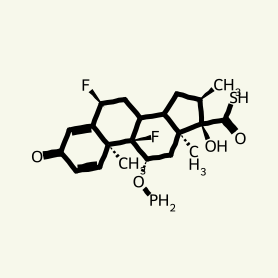 C[C@@H]1CC2C3C[C@H](F)C4=CC(=O)C=C[C@]4(C)[C@@]3(F)[C@@H](OP)C[C@]2(C)[C@@]1(O)C(=O)S